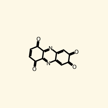 O=c1cc2nc3c(=O)ccc(=O)c3nc2cc1=O